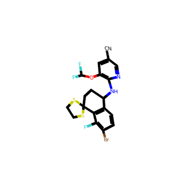 N#Cc1cnc(NC2CCC3(SCCS3)c3c2ccc(Br)c3F)c(OC(F)F)c1